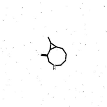 C=C1CNCCCCC2C(C)C12